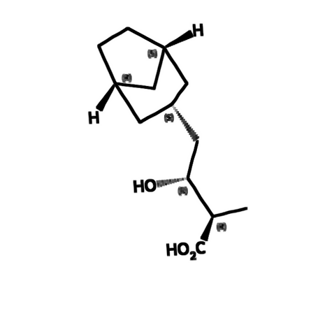 C[C@@H](C(=O)O)[C@H](O)C[C@@H]1C[C@@H]2CC[C@@H](C2)C1